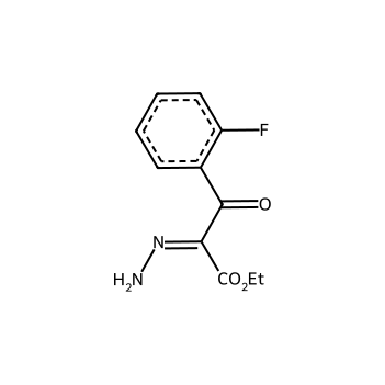 CCOC(=O)C(=NN)C(=O)c1ccccc1F